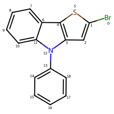 Brc1cc2c(s1)c1ccccc1n2-c1ccccc1